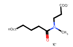 CCCCCCCCCCCC(=O)N(C)CCC(=O)[O-].[K+]